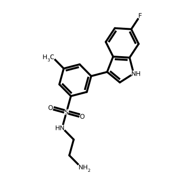 Cc1cc(-c2c[nH]c3cc(F)ccc23)cc(S(=O)(=O)NCCN)c1